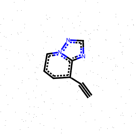 C#Cc1cccn2ncnc12